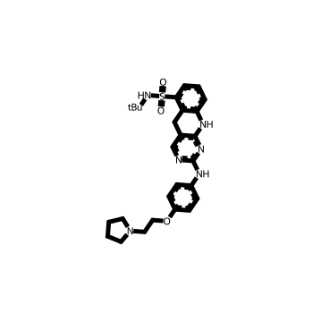 CC(C)(C)NS(=O)(=O)c1cccc2c1Cc1cnc(Nc3ccc(OCCN4CCCC4)cc3)nc1N2